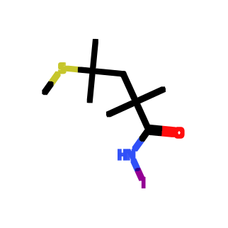 CSC(C)(C)CC(C)(C)C(=O)NI